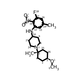 CO[C@H]1CC[C@](C)(N2CCC(Nc3cc(C)cc(F)c3[N+](=O)[O-])CC2)CC1